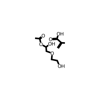 C=C(C)C(=O)O.CC(=O)OC(O)COCCO